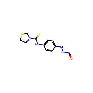 O=CNNc1ccc(NC(=S)N2CCSC2)cc1